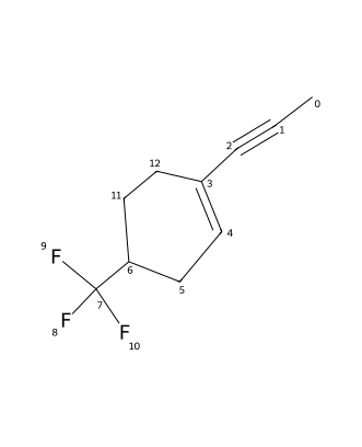 CC#CC1=CCC(C(F)(F)F)CC1